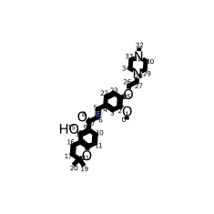 COc1cc(/C=C/C(=O)c2ccc3c(c2O)C=CC(C)(C)O3)ccc1OCCN1CCN(C)CC1